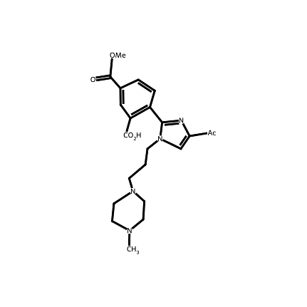 COC(=O)c1ccc(-c2nc(C(C)=O)cn2CCCN2CCN(C)CC2)c(C(=O)O)c1